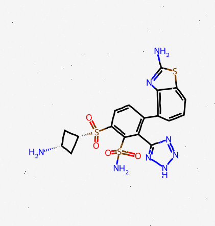 Nc1nc2c(-c3ccc(S(=O)(=O)[C@H]4C[C@@H](N)C4)c(S(N)(=O)=O)c3-c3nn[nH]n3)cccc2s1